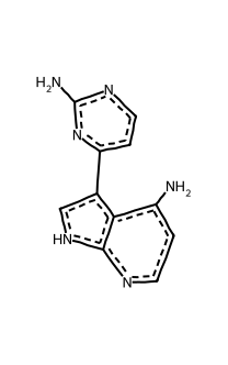 Nc1nccc(-c2c[nH]c3nccc(N)c23)n1